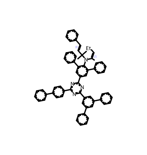 CC/C=C(/C)N(c1c(-c2ccccc2)cc(-c2nc(-c3ccc(-c4ccccc4)cc3)nc(-c3cc(-c4ccccc4)cc(-c4ccccc4)c3)n2)cc1-c1ccccc1)C(C)(C)/C=C/c1ccccc1